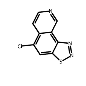 Clc1cc2snnc2c2cnccc12